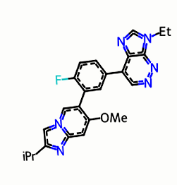 CCn1cnc2c(-c3ccc(F)c(-c4cn5cc(C(C)C)nc5cc4OC)c3)cnnc21